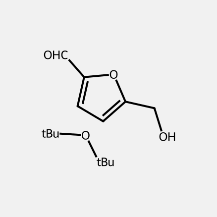 CC(C)(C)OC(C)(C)C.O=Cc1ccc(CO)o1